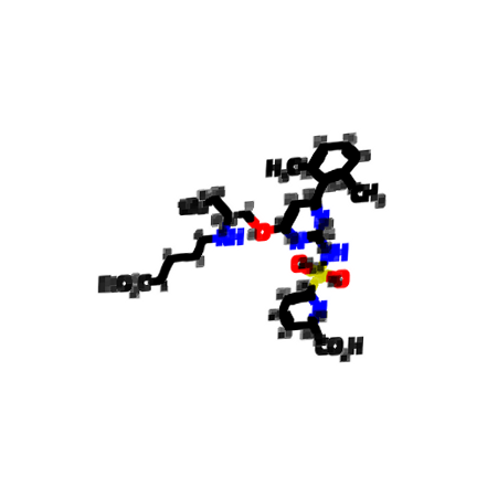 CCOC(=O)CCCCN[C@@H](COc1cc(-c2c(C)cccc2C)nc(NS(=O)(=O)c2cccc(C(=O)O)n2)n1)CC(C)(C)C